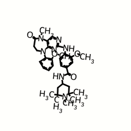 COc1cc(C(=O)NC2CC(C)(C)N(C)C(C)(C)C2)ccc1Nc1ncc2c(n1)N(c1ccccc1OC)CCC(=O)N2C